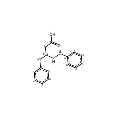 O=C(O)C[C@H](Oc1ccccc1)POc1ccccc1